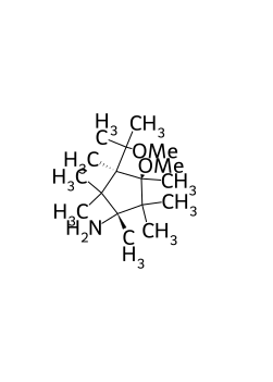 COC(C)(C)[C@]1(C)C(C)(C)[C@@](C)(N)C(C)(C)[C@]1(C)OC